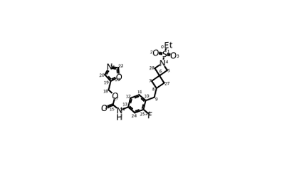 CCS(=O)(=O)N1CC2(CC(Cc3ccc(NC(=O)OCc4cnco4)cc3F)C2)C1